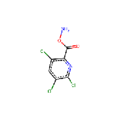 NOC(=O)c1nc(Cl)c(Cl)cc1Cl